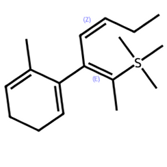 CC/C=C\C(C1=CCCC=C1C)=C(\C)S(C)(C)C